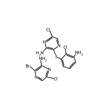 Nc1cccc(Sc2ncc(Cl)nc2N)c1Cl.Nc1nc(Cl)cnc1Br